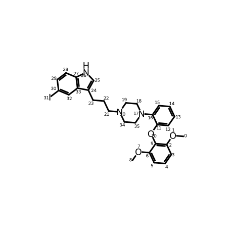 COc1cccc(OC)c1Oc1ccccc1N1CCN(CCCc2c[nH]c3ccc(I)cc23)CC1